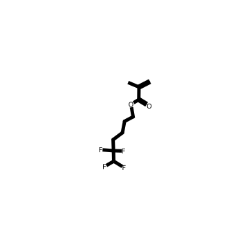 C=C(C)C(=O)OCCCCC(F)(F)C(F)F